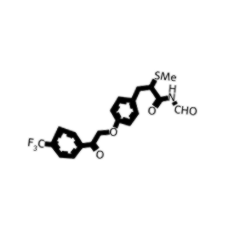 CSC(Cc1ccc(OCC(=O)c2ccc(C(F)(F)F)cc2)cc1)C(=O)NC=O